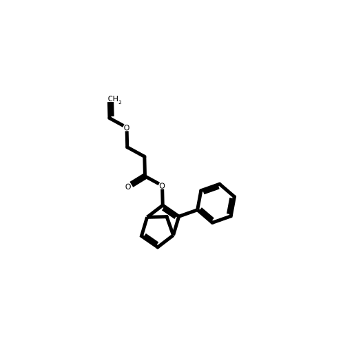 C=COCCC(=O)OC1=C(c2ccccc2)C2C=CC1C2